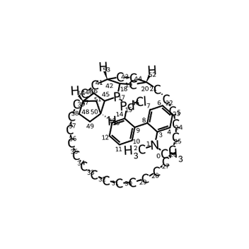 CN(C)c1ccccc1-c1cccc[c]1[Pd]([Cl])[P](C1C[C@H]2CCCCCCCCCCCCCCCCCCCCC[C@@H]1CC2)C1C[C@H]2CC[C@H]1C2